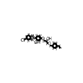 C=Cc1ccc(COCC(O)COc2ccc(-n3nc4ccc(Cl)cc4n3)c(O)c2)cc1